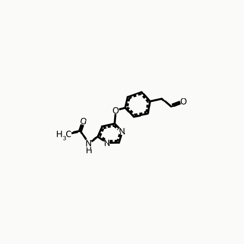 CC(=O)Nc1cc(Oc2ccc(CC=O)cc2)ncn1